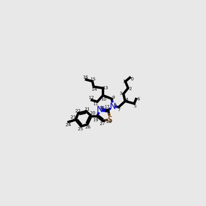 CCCCC(CC)CN(CC(CC)CCCC)c1nc(-c2ccc(C)cc2)cs1